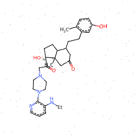 CCNc1cccnc1N1CCN(CC(=O)[C@@]2(O)CCC3C(CCc4cc(O)ccc4C)CC(=O)CC32C)CC1